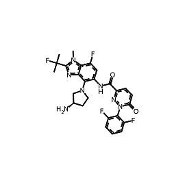 Cn1c(C(C)(C)F)nc2c(N3CC[C@@H](N)C3)c(NC(=O)c3ccc(=O)n(-c4c(F)cccc4F)n3)cc(F)c21